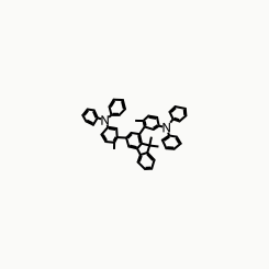 Cc1ccc(N(c2ccccc2)c2ccccc2)cc1-c1cc(-c2cc(N(c3ccccc3)c3ccccc3)ccc2C)c2c(c1)-c1ccccc1C2(C)C